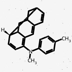 Cc1ccc(N(C)C2=C3C=C4C=CC5CC4CC3[C@@H]5C=C2)cc1